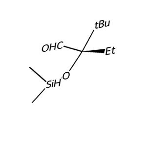 CC[C@](C=O)(O[SiH](C)C)C(C)(C)C